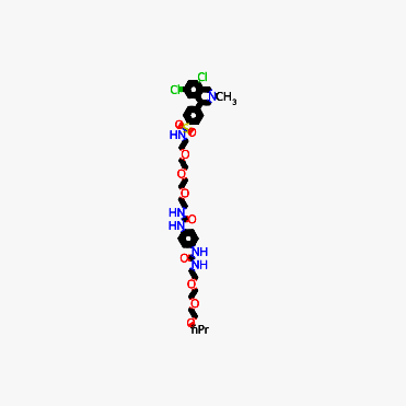 CCCOCCOCCOCCNC(=O)Nc1ccc(NC(=O)NCCOCCOCCOCCNS(=O)(=O)c2ccc(C3CN(C)Cc4c(Cl)cc(Cl)cc43)cc2)cc1